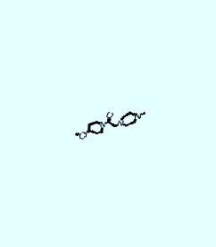 COC1CCN(C(=O)CN2CCN(C)CC2)CC1